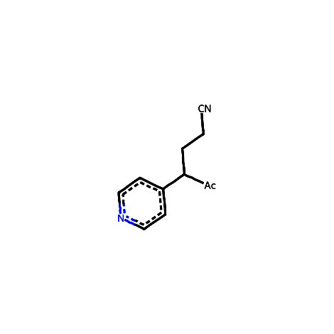 CC(=O)C(CCC#N)c1ccncc1